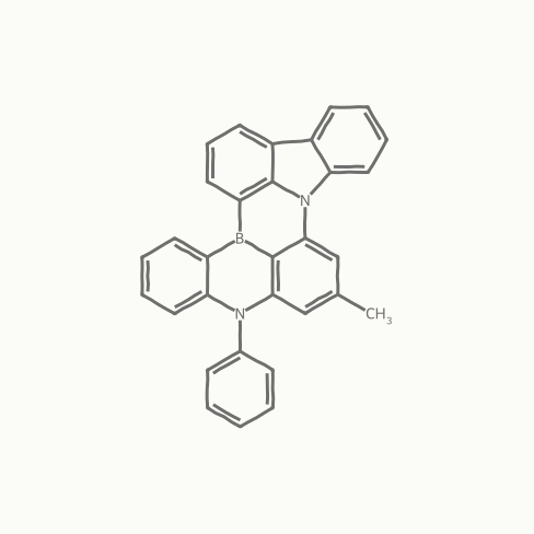 Cc1cc2c3c(c1)-n1c4ccccc4c4cccc(c41)B3c1ccccc1N2c1ccccc1